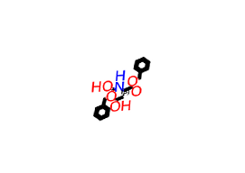 O=C(OCc1ccccc1)[C@H](CCO)NC(O)OCc1ccccc1